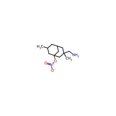 CC1CC2CC(C)(CN)CC(O[N+](=O)[O-])(C1)C2